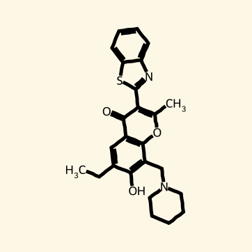 CCc1cc2c(=O)c(-c3nc4ccccc4s3)c(C)oc2c(CN2CCCCC2)c1O